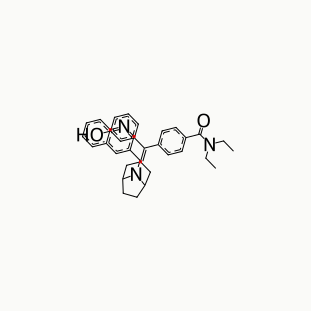 CCN(CC)C(=O)c1ccc(C(=C2CC3CCC(C2)N3Cc2cnc3ccccc3c2)c2cccc(O)c2)cc1